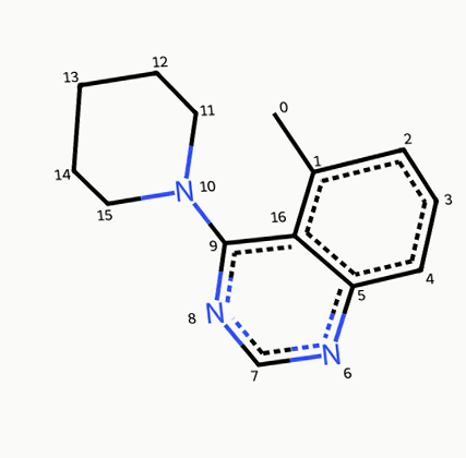 Cc1cccc2ncnc(N3CCCCC3)c12